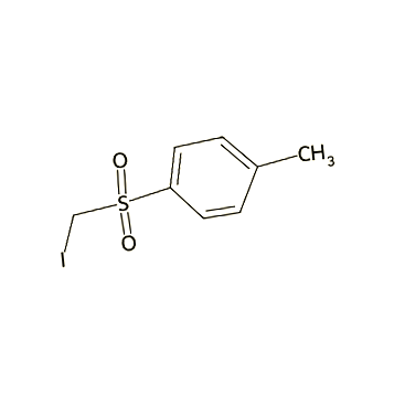 Cc1ccc(S(=O)(=O)CI)cc1